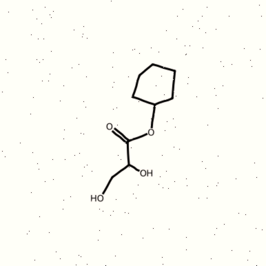 O=C(OC1CCCCC1)C(O)CO